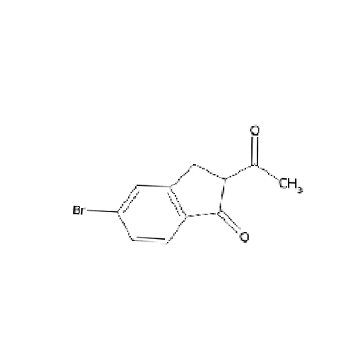 CC(=O)C1Cc2cc(Br)ccc2C1=O